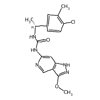 COc1n[nH]c2cc(NC(=O)N[C@H](C)c3ccc(Cl)c(C)c3)ncc12